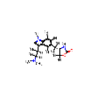 [2H]c1c(C([2H])([2H])[C@@H]2N([2H])C(=O)OC2([2H])[2H])c([2H])c2c(C([2H])([2H])C([2H])([2H])N(C)C)cn([2H])c2c1[2H]